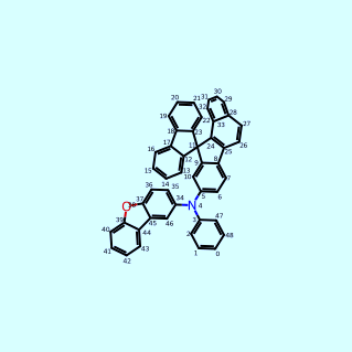 c1ccc(N(c2ccc3c(c2)C2(c4ccccc4-c4ccccc42)c2c-3ccc3ccccc23)c2ccc3oc4ccccc4c3c2)cc1